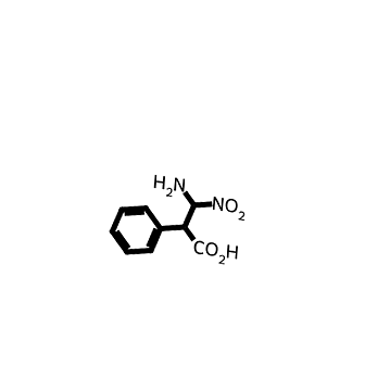 NC(C(C(=O)O)c1ccccc1)[N+](=O)[O-]